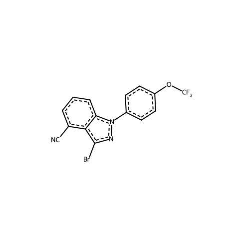 N#Cc1cccc2c1c(Br)nn2-c1ccc(OC(F)(F)F)cc1